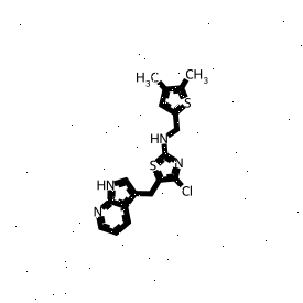 Cc1cc(CNc2nc(Cl)c(Cc3c[nH]c4ncccc34)s2)sc1C